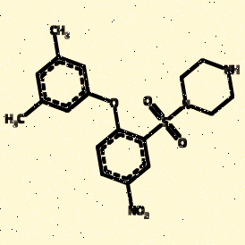 Cc1cc(C)cc(Oc2ccc([N+](=O)[O-])cc2S(=O)(=O)N2CCNCC2)c1